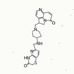 O=C1CSc2ccc(CNC3CCN(CC4Cn5c(=O)ccc6nccc4c65)CC3)nc2N1